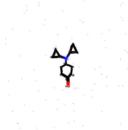 O=C1CCC(N(C2CC2)C2CC2)CC1